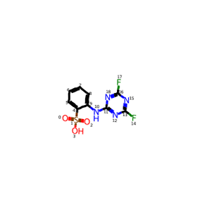 O=S(=O)(O)c1ccccc1Nc1nc(F)nc(F)n1